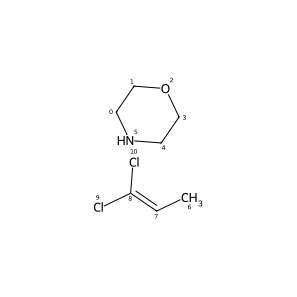 C1COCCN1.CC=C(Cl)Cl